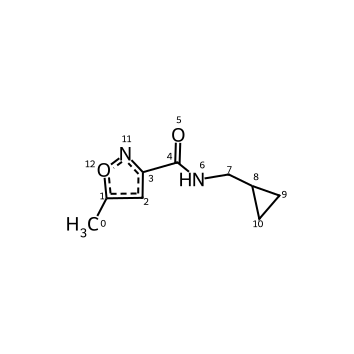 Cc1cc(C(=O)NCC2CC2)no1